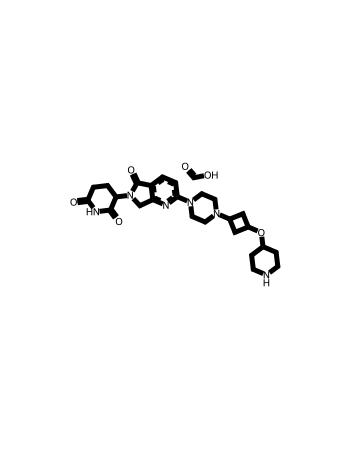 O=C1CCC(N2Cc3nc(N4CCN(C5CC(OC6CCNCC6)C5)CC4)ccc3C2=O)C(=O)N1.O=CO